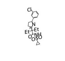 CCC(CC)(C(=O)NS(=O)(=O)C1CC1)[C@H]1CCC(c2cccc(Cl)c2)=N1